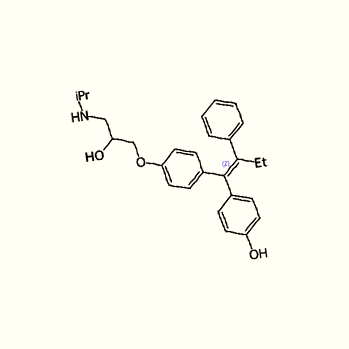 CC/C(=C(\c1ccc(O)cc1)c1ccc(OCC(O)CNC(C)C)cc1)c1ccccc1